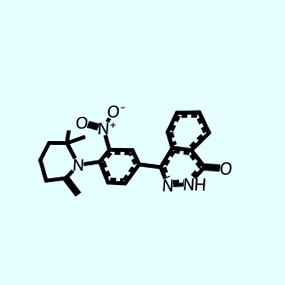 C=C1CCCC(C)(C)N1c1ccc(-c2n[nH]c(=O)c3ccccc23)cc1[N+](=O)[O-]